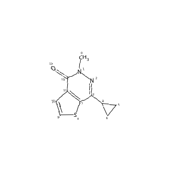 Cn1nc(C2CC2)c2sccc2c1=O